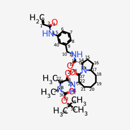 C=CC(=O)Nc1cccc(CNC(=O)[C@@H]2CCC3CCCC[C@H](NC(=O)[C@H](C)N(C)C(=O)OC(C)(C)C)C(=O)N32)c1